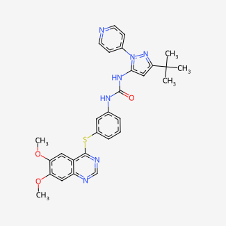 COc1cc2ncnc(Sc3cccc(NC(=O)Nc4cc(C(C)(C)C)nn4-c4ccncc4)c3)c2cc1OC